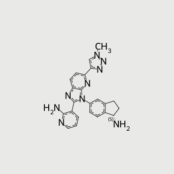 Cn1cc(-c2ccc3nc(-c4cccnc4N)n(-c4ccc5c(c4)CC[C@@H]5N)c3n2)nn1